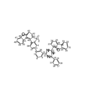 CC1(C)c2cc(-c3cccc(-c4nc(-c5ccccc5)nc(-c5cccc6c5oc5ccccc56)n4)c3)ccc2-c2c1ccc1oc3ccccc3c21